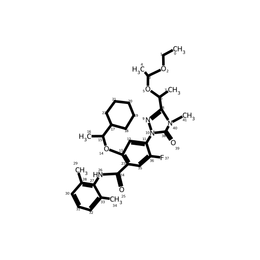 CCOC(C)OC(C)c1nn(-c2cc(OC(C)C3CCCCC3)c(C(=O)Nc3c(C)cccc3C)cc2F)c(=O)n1C